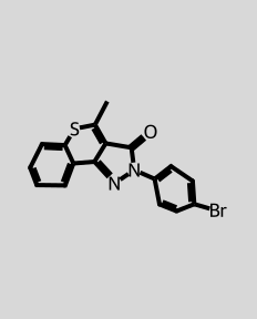 Cc1sc2ccccc2c2nn(-c3ccc(Br)cc3)c(=O)c1-2